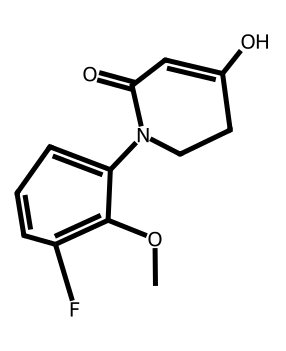 COc1c(F)cccc1N1CCC(O)=CC1=O